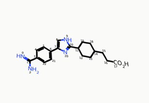 N=C(N)c1ccc(-c2c[nH]c(C3CCC(CCC(=O)O)CC3)n2)cc1